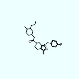 CCCC1CC(CC(=O)N2CCc3c(C)nn(Cc4ccc(F)cc4)c3C2)CCN1C